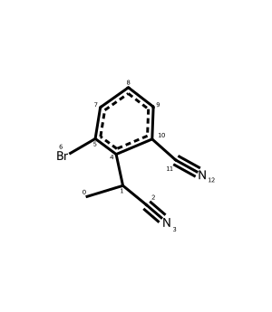 CC(C#N)c1c(Br)cccc1C#N